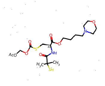 CC(=O)OCOC(=O)SC[C@H](NC(=O)C(C)(C)S)C(=O)OCCCCN1CCOCC1